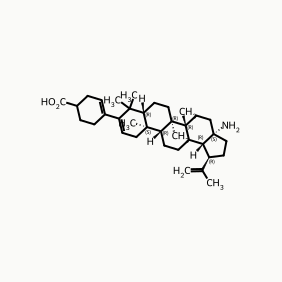 C=C(C)[C@@H]1CC[C@]2(N)CC[C@]3(C)C(CC[C@@H]4[C@@]5(C)CC=C(C6=CCC(C(=O)O)CC6)C(C)(C)[C@@H]5CC[C@]43C)[C@@H]12